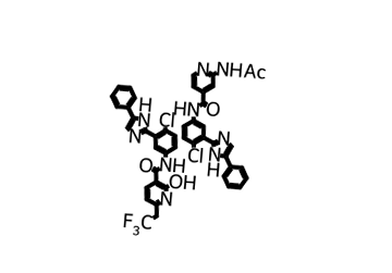 CC(=O)Nc1cc(C(=O)Nc2ccc(Cl)c(-c3ncc(-c4ccccc4)[nH]3)c2)ccn1.O=C(Nc1ccc(Cl)c(-c2ncc(-c3ccccc3)[nH]2)c1)c1ccc(CC(F)(F)F)nc1O